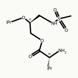 CC(C)O[C@@H](CNS(C)(=O)=O)COC(=O)[C@H](N)C(C)C